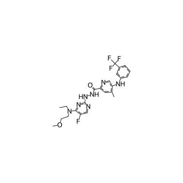 CCN(CCOC)c1nc(NNC(=O)c2cc(C)c(Nc3cccc(C(F)(F)F)c3)cn2)ncc1F